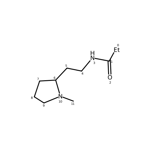 CCC(=O)NCCC1CCCN1C